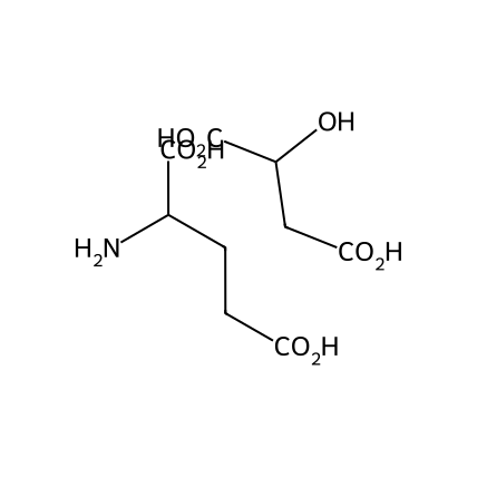 NC(CCC(=O)O)C(=O)O.O=C(O)CC(O)C(=O)O